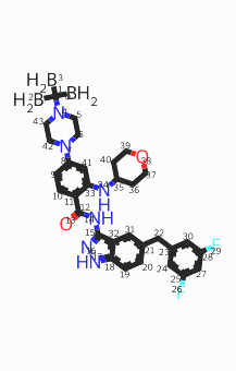 BC(B)(B)N1CCN(c2ccc(C(=O)Nc3n[nH]c4ccc(Cc5cc(F)cc(F)c5)cc34)c(NC3CCOCC3)c2)CC1